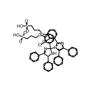 O=S(=O)(O)CCCOc1cccc(-c2nc(-c3ccccc3)c(-c3ccccc3)n2C2(c3cccc(OCCCS(=O)(=O)O)c3Cl)N=C(c3ccccc3)C(c3ccccc3)N2)c1Cl